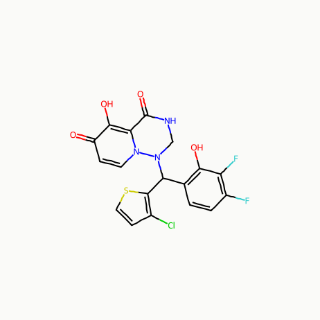 O=C1NCN(C(c2ccc(F)c(F)c2O)c2sccc2Cl)n2ccc(=O)c(O)c21